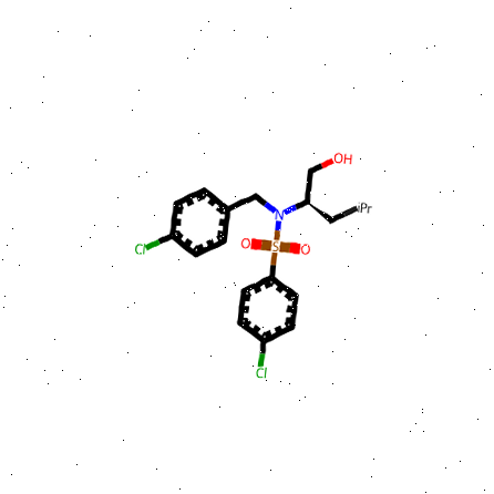 CC(C)C[C@H](CO)N(Cc1ccc(Cl)cc1)S(=O)(=O)c1ccc(Cl)cc1